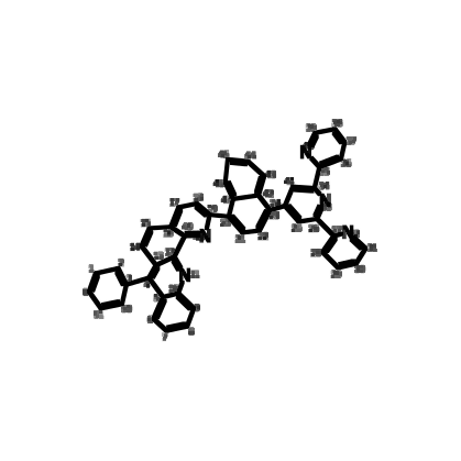 c1ccc(-c2c3ccccc3nc3c2ccc2ccc(-c4ccc(-c5cc(-c6ccccn6)nc(-c6ccccn6)c5)c5ccccc45)nc23)cc1